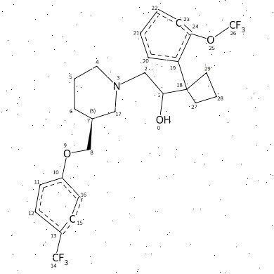 OC(CN1CCC[C@H](COc2ccc(C(F)(F)F)cc2)C1)C1(c2ccccc2OC(F)(F)F)CCC1